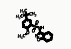 COc1ccc(C(C)(C)C)cc1S(=O)(=O)Nc1noc2ccccc12